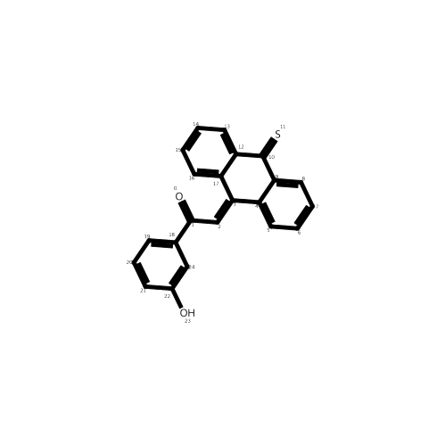 O=C(C=C1c2ccccc2C(=S)c2ccccc21)c1cccc(O)c1